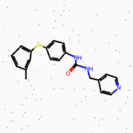 Cc1cccc(Sc2ccc(NC(=O)NCc3ccncc3)cc2)c1